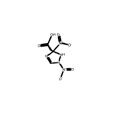 O=C(O)C1([N+](=O)[O-])N=CN([N+](=O)[O-])N1